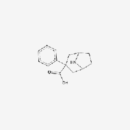 O=C(O)C1(c2ccccc2)CC2CCC(C1)N2